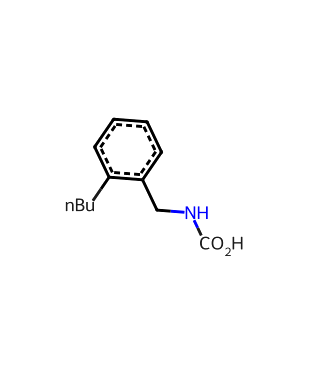 CCCCc1ccccc1CNC(=O)O